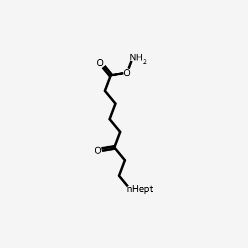 CCCCCCCCCC(=O)CCCCC(=O)ON